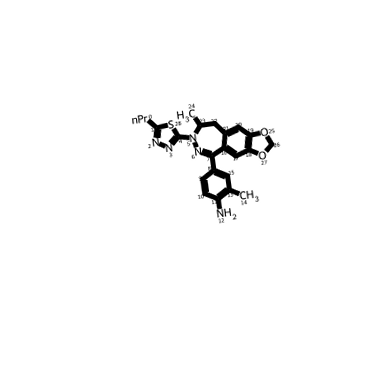 CCCc1nnc(N2N=C(c3ccc(N)c(C)c3)c3cc4c(cc3CC2C)OCO4)s1